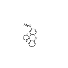 COc1ccc2c(c1)C1(SCCS1)c1ccccc1O2